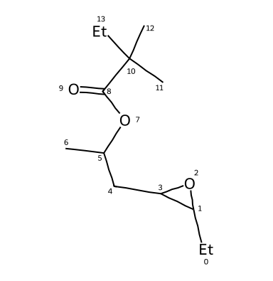 CCC1OC1CC(C)OC(=O)C(C)(C)CC